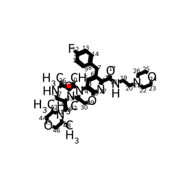 CC(=O)N1c2cc(Cc3ccc(F)cc3)c(C(=O)NCCN3CCOCC3)nc2OCC1(C)N1CC(C)NCC1CN1[C@H](C)COC[C@H]1C